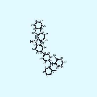 Cc1ccccc1N(c1ccc(-c2ccc3[nH]c4c5c(ccc4c3c2)-c2ccccc2C5)cc1)c1ccccc1C